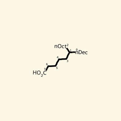 CCCCCCCCCCC(CCCCCCCC)CCCCC(=O)O